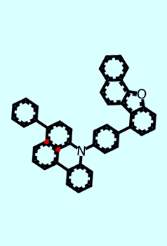 c1ccc(-c2ccc(N(c3ccc(-c4cccc5oc6c7ccccc7ccc6c45)cc3)c3ccccc3-c3ccccc3)cc2)cc1